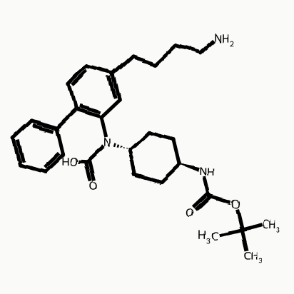 CC(C)(C)OC(=O)N[C@H]1CC[C@H](N(C(=O)O)c2cc(CCCCN)ccc2-c2ccccc2)CC1